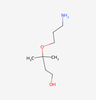 CC(C)(CCO)OCCCN